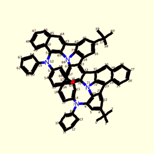 CC(C)(C)c1cc(N(c2ccccc2)c2ccccc2)c2c(c1)c1c3ccccc3cc3c4c5c6cc(C(C)(C)C)cc7c8cc9ccccc9c(N(c9ccccc9)c9ccccc9)c8n(c5ccc4n2c31)c76